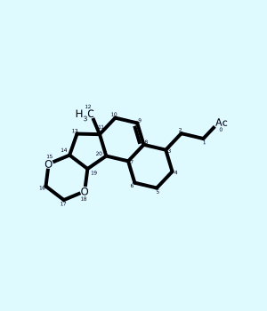 CC(=O)CCC1CCCC2C1=CCC1(C)CC3OCCOC3C21